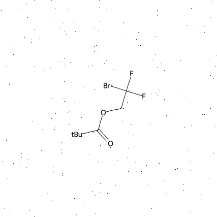 CC(C)(C)C(=O)O[CH]C(F)(F)Br